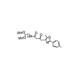 COC(CNC(=O)CC(=O)Cc1nc(-c2ccc(C)cc2)oc1C)OC